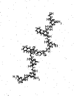 CCSc1nc(NCCNC(=O)C(C)CC(=O)CNC(=O)C(Cc2ccccc2)NC(=O)CCNc2nc(C)nc(NCCNc3nc(N)nc(NCCNc4ncnc(N)n4)n3)n2)nc(NCCNc2nc(NCCNc3nc(N)nc(NCCS)n3)nc(Sc3ccccc3)n2)n1